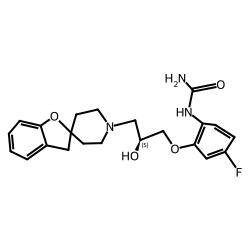 NC(=O)Nc1ccc(F)cc1OC[C@@H](O)CN1CCC2(CC1)Cc1ccccc1O2